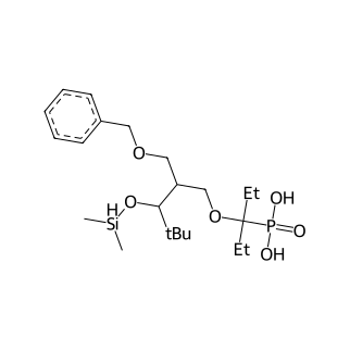 CCC(CC)(OCC(COCc1ccccc1)C(O[SiH](C)C)C(C)(C)C)P(=O)(O)O